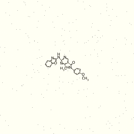 COc1ccc(NC(=O)c2cnc(Nc3nc4ccccc4o3)nc2C)cc1